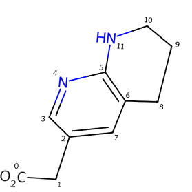 O=C(O)Cc1cnc2c(c1)CCCN2